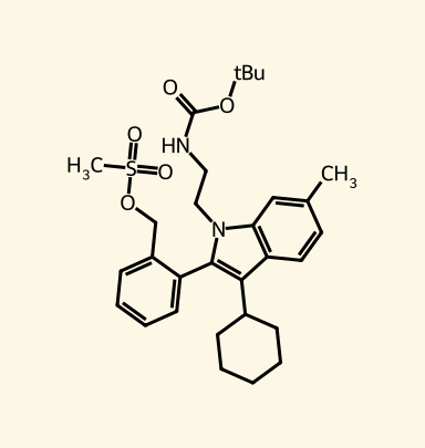 Cc1ccc2c(C3CCCCC3)c(-c3ccccc3COS(C)(=O)=O)n(CCNC(=O)OC(C)(C)C)c2c1